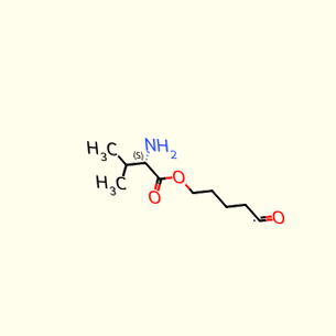 CC(C)[C@H](N)C(=O)OCCCC[C]=O